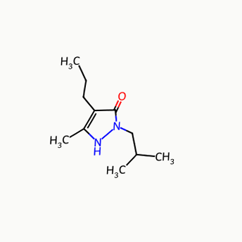 CCCc1c(C)[nH]n(CC(C)C)c1=O